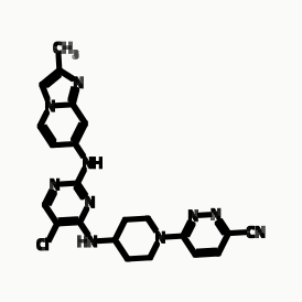 Cc1cn2ccc(Nc3ncc(Cl)c(NC4CCN(c5ccc(C#N)nn5)CC4)n3)cc2n1